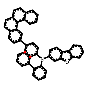 c1ccc(-c2ccccc2N(c2ccc(-c3ccc4ccc5ccc6ccccc6c5c4c3)cc2)c2ccc3c(c2)oc2ccccc23)cc1